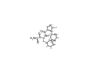 Cc1ncc(C(=O)NC(Cc2ccncc2)C(=O)C(N)=O)n1-c1ccncn1